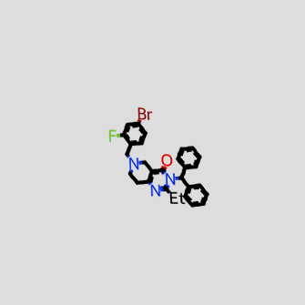 CCc1nc2c(c(=O)n1C(c1ccccc1)c1ccccc1)CN(Cc1ccc(Br)cc1F)CC2